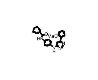 COc1ccccc1-c1cc(Nc2ccc(NC(=O)c3ccccc3)cc2)ncn1